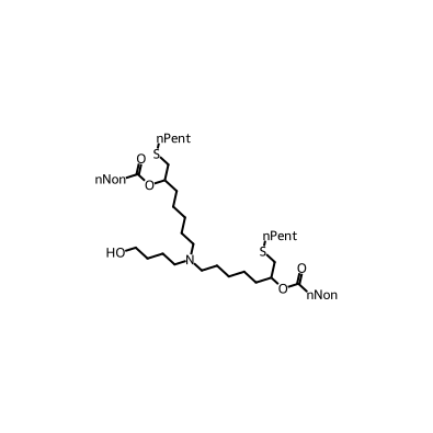 CCCCCCCCCC(=O)OC(CCCCCN(CCCCO)CCCCCC(CSCCCCC)OC(=O)CCCCCCCCC)CSCCCCC